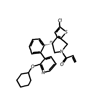 C=CC(=O)N1Cc2sc(Cl)cc2[C@@H](c2ccccc2-c2cccnc2OC2CCCCC2)C1